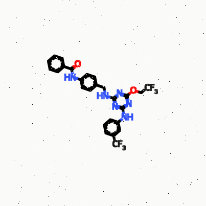 O=C(Nc1ccc(CNc2nc(Nc3cccc(C(F)(F)F)c3)nc(OCC(F)(F)F)n2)cc1)c1ccccc1